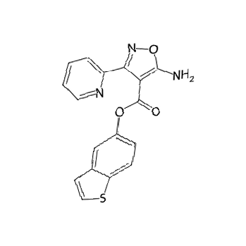 Nc1onc(-c2ccccn2)c1C(=O)Oc1ccc2sccc2c1